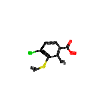 CSc1c(Cl)ccc(C(=O)O)c1C